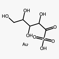 O=C(C(O)C(O)C(O)CO)S(=O)(=O)O.[Au]